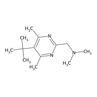 Cc1nc(CN(C)C)nc(C)c1C(C)(C)C